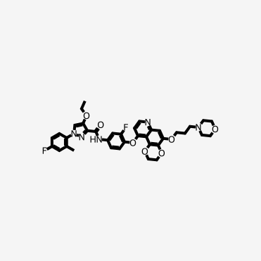 CCOc1cn(-c2ccc(F)cc2C)nc1C(=O)Nc1ccc(Oc2ccnc3cc(OCCCN4CCOCC4)c4c(c23)OCCO4)c(F)c1